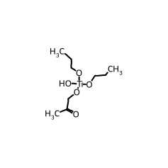 CCC[O][Ti]([OH])([O]CCC)[O]CC(C)=O